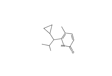 Cc1ccc(=O)[nH]c1C(C(C)C)C1CC1